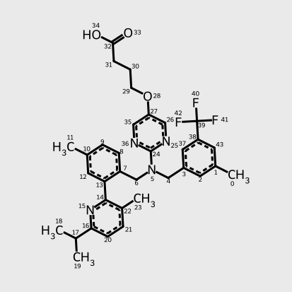 Cc1cc(CN(Cc2ccc(C)cc2-c2nc(C(C)C)ccc2C)c2ncc(OCCCC(=O)O)cn2)cc(C(F)(F)F)c1